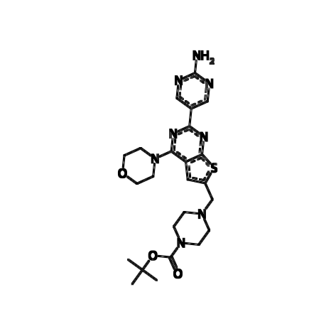 CC(C)(C)OC(=O)N1CCN(Cc2cc3c(N4CCOCC4)nc(-c4cnc(N)nc4)nc3s2)CC1